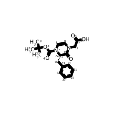 CC(C)(C)OC(=O)N1C=CN(CC(=O)O)C(=O)[C@@H]1Cc1ccccc1